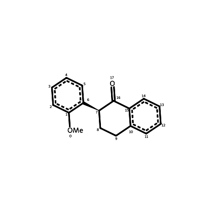 COc1ccccc1[C@@H]1CCc2ccccc2C1=O